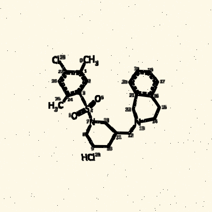 Cc1cc(S(=O)(=O)N2CCCC(CN3CCc4ccccc4C3)C2)c(C)cc1Cl.Cl